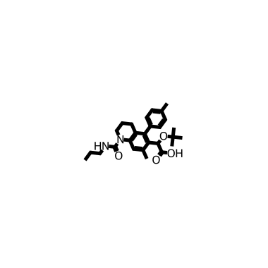 CCCNC(=O)N1CCCc2c1cc(C)c(C(OC(C)(C)C)C(=O)O)c2-c1ccc(C)cc1